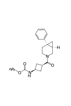 CCCOC(=O)N[C@H]1C[C@@H](C(=O)N2CC[C@@]3(c4ccccc4)C[C@H]3C2)C1